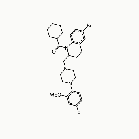 COc1cc(F)ccc1N1CCN(CC2CCc3cc(Br)ccc3N2C(=O)C2CCCCC2)CC1